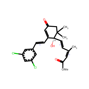 COC(=O)/C=C(C)\C=C\[C@@]1(O)C(/C=C/c2cc(Cl)cc(Cl)c2)=CC(=O)CC1(C)C